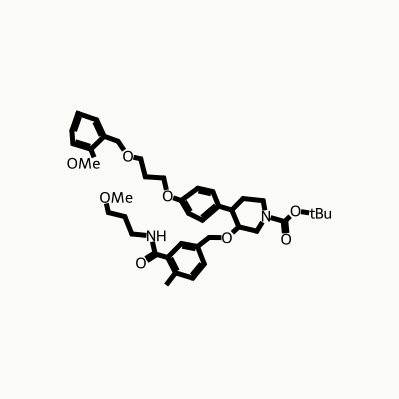 COCCCNC(=O)c1cc(COC2CN(C(=O)OC(C)(C)C)CCC2c2ccc(OCCCOCc3ccccc3OC)cc2)ccc1C